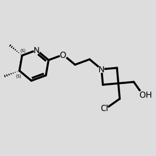 C[C@@H]1N=C(OCCN2CC(CO)(CCl)C2)C=C[C@@H]1C